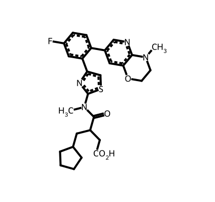 CN1CCOc2cc(-c3ccc(F)cc3-c3csc(N(C)C(=O)C(CC(=O)O)CC4CCCC4)n3)cnc21